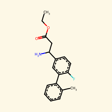 CCOC(=O)CC(N)c1ccc(F)c(-c2ccccc2C)c1